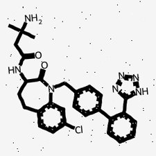 CC(C)(N)CC(=O)NC1CCc2ccc(Cl)cc2N(Cc2ccc(-c3ccccc3-c3nnn[nH]3)cc2)C1=O